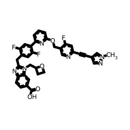 Cn1cc(C#Cc2cc(F)c(COc3cccc(-c4cc(F)c(Cc5nc6ccc(C(=O)O)cc6n5CC5CCO5)cc4F)n3)cn2)cn1